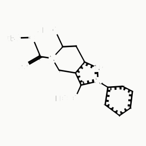 CC1Cc2nn(-c3ccccc3)c(C(=O)O)c2CN1C(=O)OC(C)(C)C